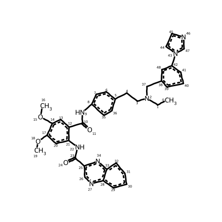 CCN(CCc1ccc(NC(=O)c2cc(OC)c(OC)cc2NC(=O)c2cnc3ccccc3n2)cc1)Cc1cccc(-n2ccnc2)c1